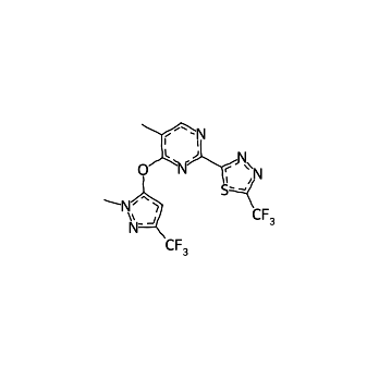 Cc1cnc(-c2nnc(C(F)(F)F)s2)nc1Oc1cc(C(F)(F)F)nn1C